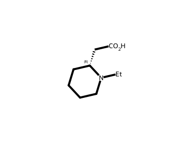 CCN1CCCC[C@@H]1CC(=O)O